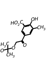 Cc1cc(C(=O)COC(C)(C)O)cc(C(=O)O)c1O